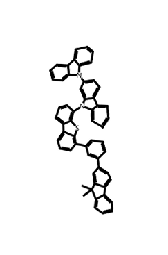 CC1(C)c2ccccc2-c2ccc(-c3cccc(-c4cccc5c4sc4c(-n6c7ccccc7c7ccc(-n8c9ccccc9c9ccccc98)cc76)cccc45)c3)cc21